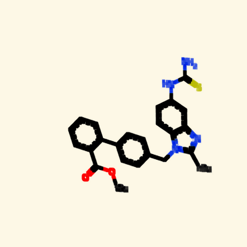 CCCCc1nc2cc(NC(N)=S)ccc2n1Cc1ccc(-c2ccccc2C(=O)OC(C)(C)C)cc1